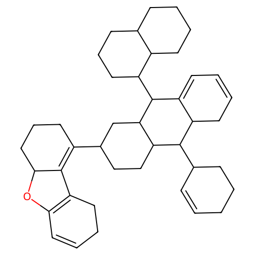 C1=CCC2C(=C1)C(C1CCCC3CCCCC31)C1CC(C3=C4C5=C(C=CCC5)OC4CCC3)CCC1C2C1C=CCCC1